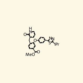 COC(=O)c1ccc(Cc2ccc[nH]c2=O)c(Oc2ccc(-c3nnc(C(C)C)s3)cc2)c1